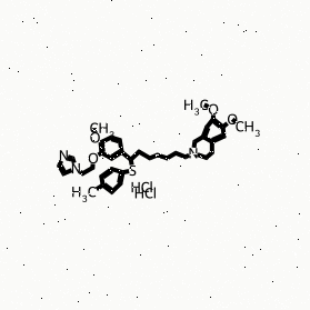 COc1cc2c(cc1OC)CN(CCCCCCC(Sc1ccc(C)cc1)c1ccc(OC)c(OCCn3ccnc3)c1)CC2.Cl.Cl